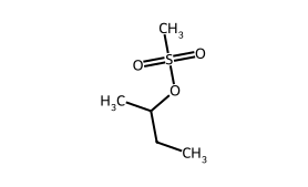 CCC(C)OS(C)(=O)=O